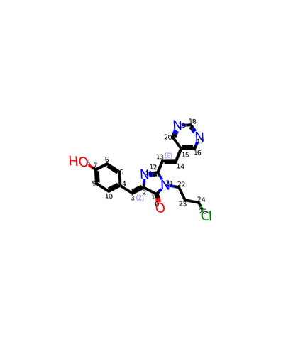 O=C1/C(=C/c2ccc(O)cc2)N=C(/C=C/c2cncnc2)N1CCCCl